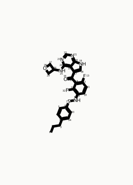 CCCc1ccc(SNc2ccc(F)c(C(=O)c3c[nH]c4ncnc(NC5COC5)c34)c2F)cc1